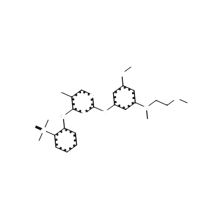 COCCN(C)c1cc(Nc2ncc(Cl)c(Nc3ccccc3P(C)(C)=O)n2)cc(OC)c1